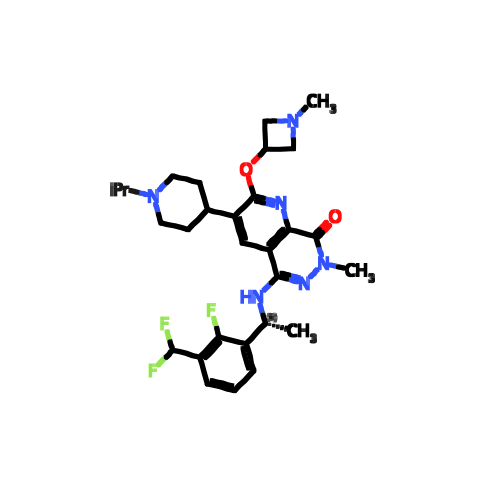 CC(C)N1CCC(c2cc3c(N[C@H](C)c4cccc(C(F)F)c4F)nn(C)c(=O)c3nc2OC2CN(C)C2)CC1